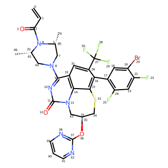 C=CC(=O)N1[C@H](C)CN(c2nc(=O)n3c4c(c(-c5cc(Br)c(F)cc5F)c(C(F)(F)F)cc24)SC[C@@H](Oc2ncccn2)C3)C[C@@H]1C